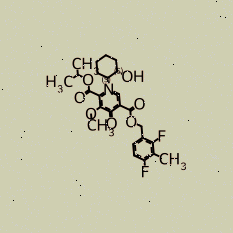 COc1c(C(=O)OC(C)C)n([C@H]2CCCC[C@@H]2O)cc(C(=O)OCc2ccc(F)c(C)c2F)c1=O